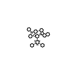 c1ccc(-c2nc(-c3ccccc3)nc(-c3cccc(-n4c5ccc6ccccc6c5c5cccc(-c6ccc7c(c6)Oc6ccccc6N7c6ccccc6)c54)c3)n2)cc1